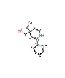 BrCC1(CBr)C=CNC(c2ccccn2)=C1